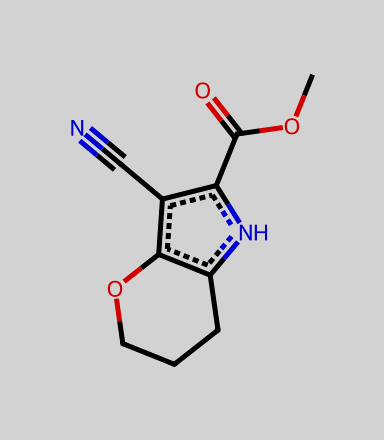 COC(=O)c1[nH]c2c(c1C#N)OCCC2